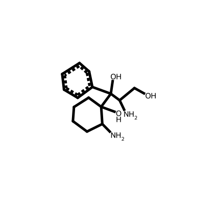 NC1CCCCC1(O)C(O)(c1ccccc1)C(N)CO